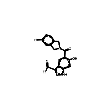 CCC(=O)c1n[nH]c2cc(O)c(C(=O)N3Cc4ccc(Cl)cc4C3)cc12